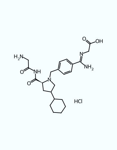 Cl.NCC(=O)NC(=O)[C@@H]1CC(C2CCCCC2)CN1Cc1ccc(C(N)=NCC(=O)O)cc1